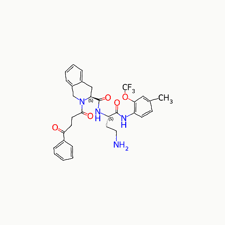 Cc1ccc(NC(=O)[C@H](CCN)NC(=O)[C@@H]2Cc3ccccc3CN2C(=O)CCC(=O)c2ccccc2)c(OC(F)(F)F)c1